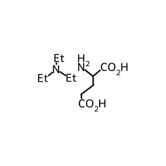 CCN(CC)CC.NC(CCC(=O)O)C(=O)O